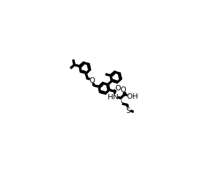 CSCC[C@H](NC(=O)c1ccc(COCc2cccc(C(C)C)c2)cc1-c1ccccc1C)C(=O)O